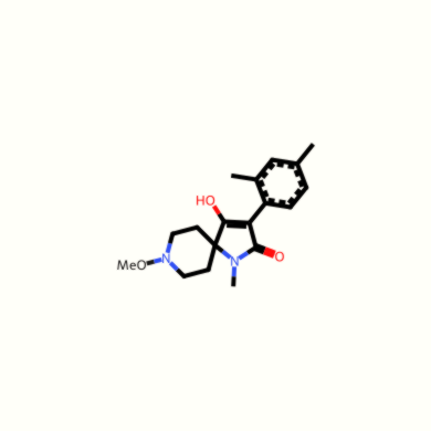 CON1CCC2(CC1)C(O)=C(c1ccc(C)cc1C)C(=O)N2C